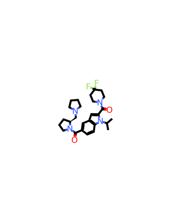 CC(C)n1c(C(=O)N2CCC(F)(F)CC2)cc2cc(C(=O)N3CCC[C@H]3CN3CCCC3)ccc21